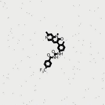 Cc1cc2c(cn1)cc(-c1cc(NC(=O)NC(=O)c3ccc(C(F)(F)F)cc3)ccc1C)c(=O)n2C